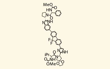 COC(=O)NC(C(=O)N1CC2(C[C@@H]1c1nc(-c3ccc4c(c3)C(F)(F)c3cc(-c5ccc6nc([C@@H]7CCCN7C(=O)[C@H](NC(=O)OC)c7ccccc7)[nH]c6c5)ccc3-4)c[nH]1)OCCO2)C(C)C